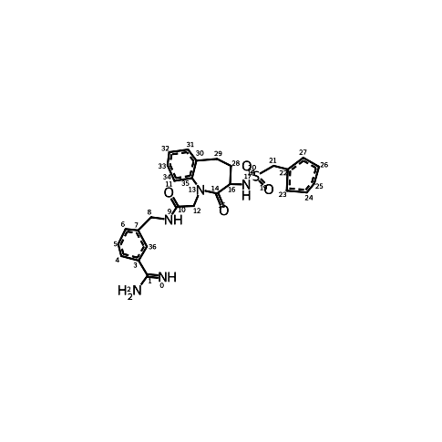 N=C(N)c1cccc(CNC(=O)CN2C(=O)C(NS(=O)(=O)Cc3ccccc3)CCc3ccccc32)c1